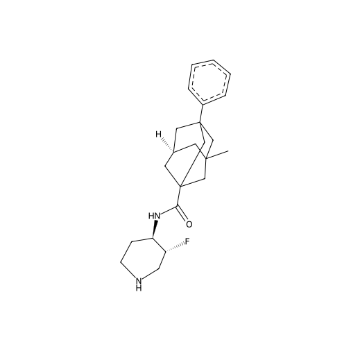 CC12C[C@H]3CC(C(=O)N[C@@H]4CCNC[C@H]4F)(C1)CC(c1ccccc1)(C3)C2